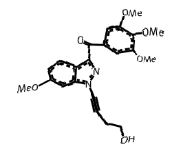 COc1ccc2c(C(=O)c3cc(OC)c(OC)c(OC)c3)nn(C#CCCO)c2c1